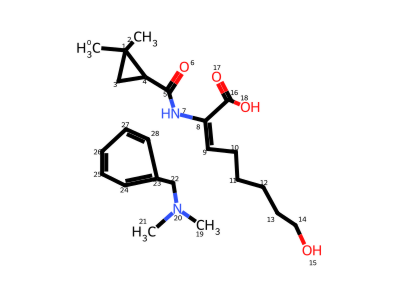 CC1(C)CC1C(=O)N/C(=C/CCCCCO)C(=O)O.CN(C)Cc1ccccc1